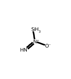 N=[N+]([O-])[SiH3]